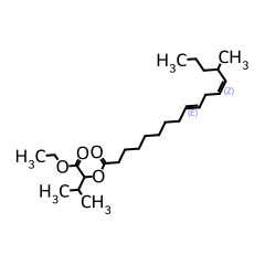 CCCC(C)/C=C\C/C=C/CCCCCCCC(=O)OC(C(=O)OCC)C(C)C